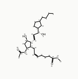 CCCCC1CCC([C@H](O)/C=C/[C@@H]2[C@@H](C/C=C\CCCC(=O)OC)[C@@H](OC(C)=O)C[C@H]2O)C1